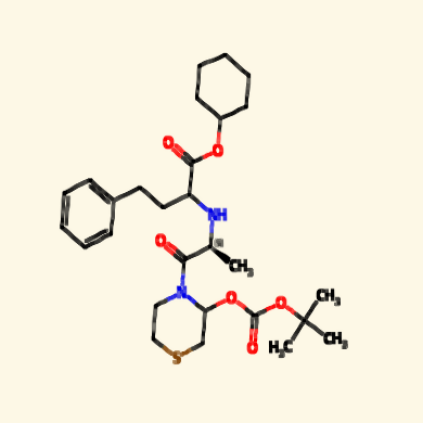 C[C@H](NC(CCc1ccccc1)C(=O)OC1CCCCC1)C(=O)N1CCSCC1OC(=O)OC(C)(C)C